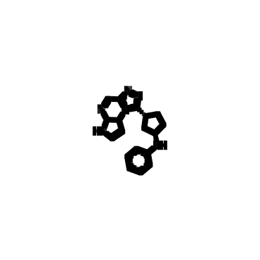 C1=CC2C(N=Cc3nnc([C@@H]4CC[C@@H](Nc5ccccc5)C4)n32)N1